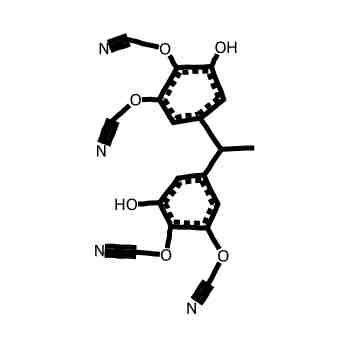 CC(c1cc(O)c(OC#N)c(OC#N)c1)c1cc(O)c(OC#N)c(OC#N)c1